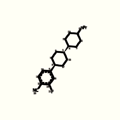 CCCC1CCC([C@H]2CC[C@H](c3ccc(C#N)c(F)c3)CC2)CC1